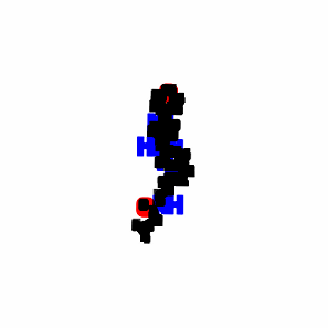 O=C(CC1CC1)NCCCn1ccc2cnc(Nc3ccc(N4CCOCC4)nc3)nc21